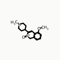 COc1cccc2c1C=C(C1CCN(C)CC1)[N+](=O)C2